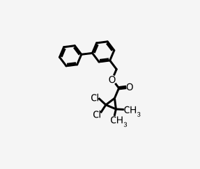 CC1(C)C(C(=O)OCc2cccc(-c3ccccc3)c2)C1(Cl)Cl